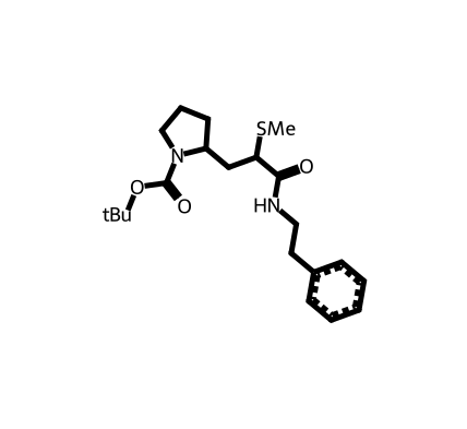 CSC(CC1CCCN1C(=O)OC(C)(C)C)C(=O)NCCc1ccccc1